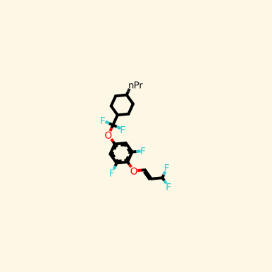 CCCC1CCC(C(F)(F)Oc2cc(F)c(O/C=C/C(F)F)c(F)c2)CC1